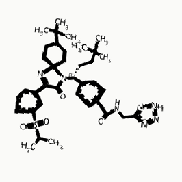 CC(C)S(=O)(=O)c1cccc(C2=NC3(CCC(C(C)(C)C)CC3)N([C@H](CCC(C)(C)C)c3ccc(C(=O)NCc4nn[nH]n4)cc3)C2=O)c1